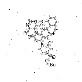 CCOC(=O)c1cccc(F)c1-c1nc2c(cc1F)c(N1CCN(C(=O)OC(C)(C)C)C[C@@H]1C)nc(=O)n2-c1c(C)ccnc1C(C)C